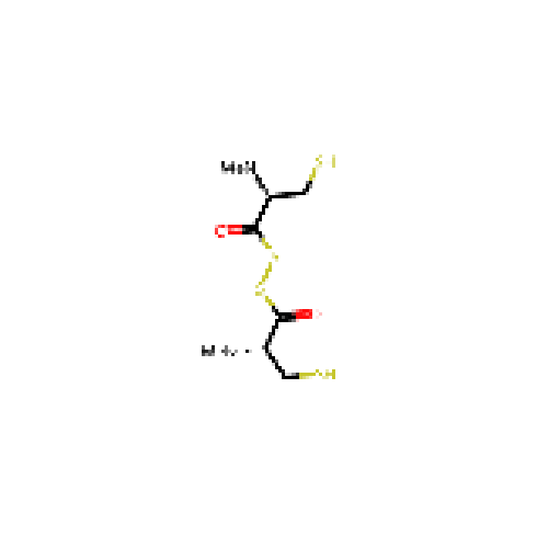 CN[C@@H](CS)C(=O)SSC(=O)[C@H](CS)NC